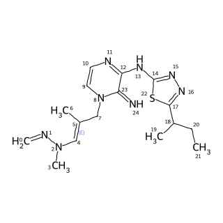 C=NN(C)/C=C(\C)Cn1ccnc(Nc2nnc(C(C)CC)s2)c1=N